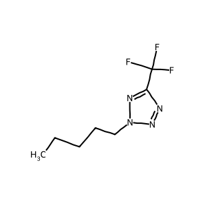 CCCCCn1nnc(C(F)(F)F)n1